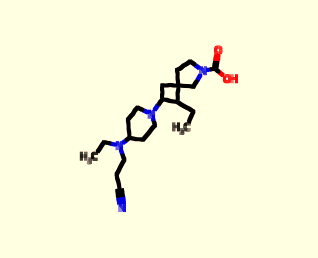 CCC1C(N2CCC(N(CC)CCC#N)CC2)CC12CCN(C(=O)O)C2